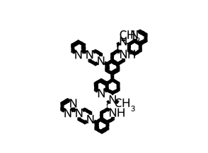 CN(C[C@@H]1Cc2c(cc(C3CC[C@H](N(C)C[C@H]4Cc5c(cccc5N5CCN(c6ncccn6)CC5)CN4)c4ncccc43)cc2N2CCN(c3ccccn3)CC2)CN1)[C@H]1CCCc2cccnc21